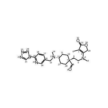 CC1=C(N(C)CC[C@]2(C=O)CC[C@@H](N(C)Cc3ccc(-n4cnnn4)nc3)CC2)COC1=O